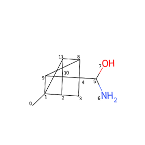 CC12C3CC4(C(N)O)C5C1C34C52